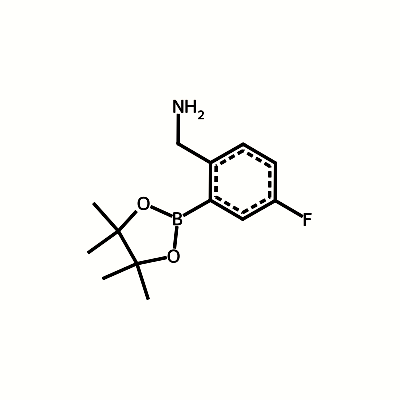 CC1(C)OB(c2cc(F)ccc2CN)OC1(C)C